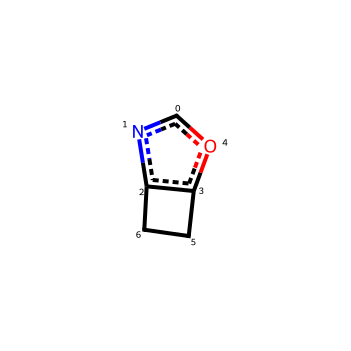 c1nc2c(o1)CC2